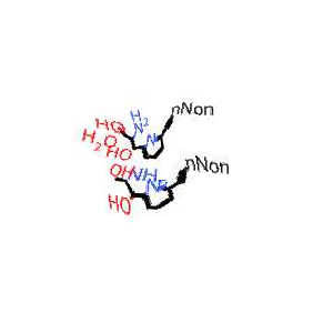 CCCCCCCCCC#Cc1cccc(C(O)C(N)CO)n1.CCCCCCCCCC#Cc1cccc(C(O)C(N)CO)n1.O